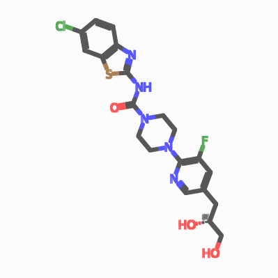 O=C(Nc1nc2ccc(Cl)cc2s1)N1CCN(c2ncc(C[C@@H](O)CO)cc2F)CC1